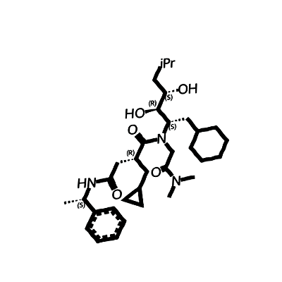 CC(C)C[C@H](O)[C@H](O)[C@H](CC1CCCCC1)N(CC(=O)N(C)C)C(=O)[C@@H](CC(=O)N[C@@H](C)c1ccccc1)CC1CC1